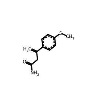 C=C(CC(N)=O)c1ccc(SC)cc1